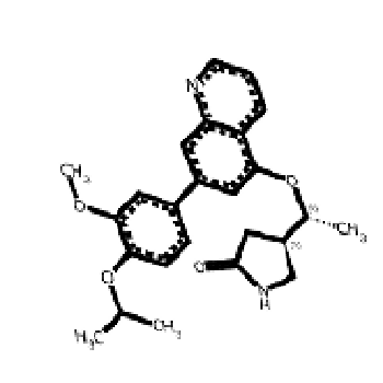 COc1cc(-c2cc(O[C@H](C)[C@H]3CNC(=O)C3)c3cccnc3c2)ccc1OC(C)C